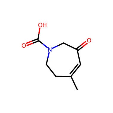 CC1=CC(=O)CN(C(=O)O)CC1